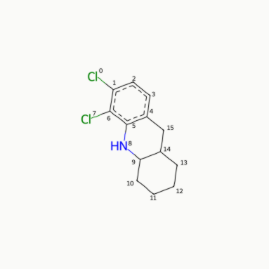 Clc1ccc2c(c1Cl)NC1CCCCC1C2